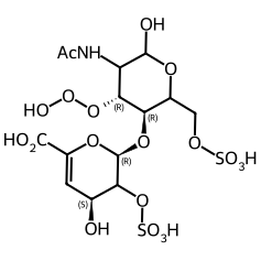 CC(=O)NC1C(O)OC(COS(=O)(=O)O)[C@@H](O[C@@H]2OC(C(=O)O)=C[C@H](O)C2OS(=O)(=O)O)[C@@H]1OOO